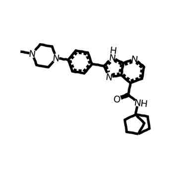 CN1CCN(c2ccc(-c3nc4c(C(=O)NC56CCC(CC5)C6)ccnc4[nH]3)cc2)CC1